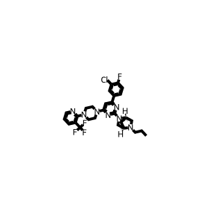 CCCN1C[C@H]2C[C@@H]1CN2c1nc(-c2ccc(F)c(Cl)c2)cc(N2CCN(c3ncccc3C(F)(F)F)CC2)n1